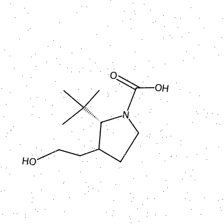 CC(C)(C)[C@H]1C(CCO)CCN1C(=O)O